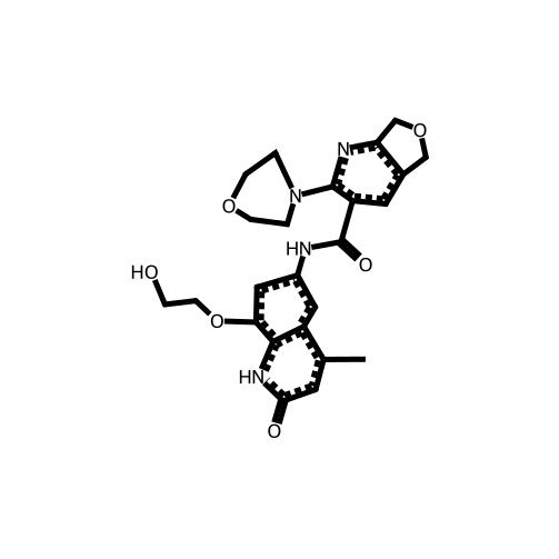 Cc1cc(=O)[nH]c2c(OCCO)cc(NC(=O)c3cc4c(nc3N3CCOCC3)COC4)cc12